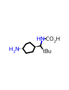 CC(C)(C)C(NC(=O)O)[C@H]1CC[C@H](N)CC1